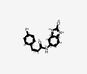 O=C(/C=C\c1ccc(F)cc1)Nc1ccc2nc(Cl)sc2c1